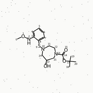 CONc1ccccc1SN1CCN(C(=O)OC(C)(C)C)CC(O)C1